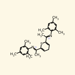 C/C(=N\c1c(C)cc(C)cc1C)C1=CCC=C(/C(C)=N/c2c(C)cc(C)cc2C)S1